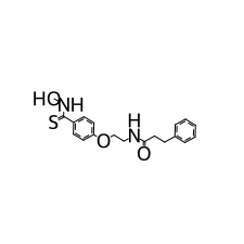 O=C(CCc1ccccc1)NCCOc1ccc(C(=S)NO)cc1